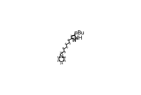 CCCCc1cc(CCCCCCCN2CCCCC2)n[nH]1